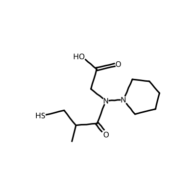 CC(CS)C(=O)N(CC(=O)O)N1CCCCC1